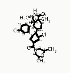 CC1CN(C(=O)c2ccc([C@@H]3CC[C@@]4(C)C(=O)N[C@H](C)[C@H]4[C@H]3c3ccc(Cl)cc3)c(Cl)c2)CC(C)O1